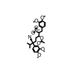 COc1ccc(CC(C(CCC(C#N)(c2ccc(OC)c(OC)c2)C(C)C)OC(C)=O)[N+](=O)[O-])cc1OC